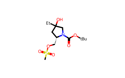 CCC1(O)C[C@@H](COS(C)(=O)=O)N(C(=O)OC(C)(C)C)C1